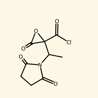 CC(N1C(=O)CCC1=O)C1(C(=O)Cl)OC1=O